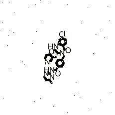 Cc1ccnc(NC(=O)c2ccc(CN3C(=O)c4ccc(Cl)cc4NC(=O)[C@H]3Cc3cccnc3)cc2)n1